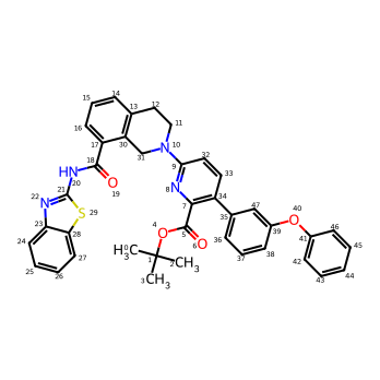 CC(C)(C)OC(=O)c1nc(N2CCc3cccc(C(=O)Nc4nc5ccccc5s4)c3C2)ccc1-c1cccc(Oc2ccccc2)c1